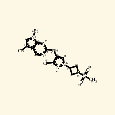 CCn1cc(Cl)c2cnc(Nc3cn(C4CN(S(C)(=O)=O)C4)nc3Cl)nc21